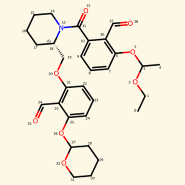 CCOC(C)Oc1cccc(C(=O)N2CCCC[C@H]2COc2cccc(OC3CCCCO3)c2C=O)c1C=O